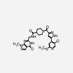 COc1cc(-c2cc(C(=O)N3CCC(C(=O)NCc4nc5c(cnn5C)c(=O)[nH]4)CC3)n[nH]2)c(Cl)cn1